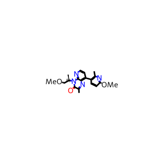 COC[C@@H](C)n1c(=O)c(C)nc2c(-c3ccc(OC)nc3C)ccnc21